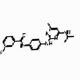 Cc1cc(NC(C)C)nc(Nc2ccc(NC(=O)c3cccc(Br)c3)cc2)n1